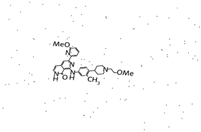 COCCN1CCC(c2ccc(Nc3nc(-c4cccc(OC)n4)cc4cc[nH]c(=O)c34)cc2C)CC1